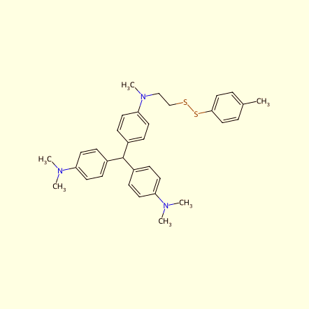 Cc1ccc(SSCCN(C)c2ccc(C(c3ccc(N(C)C)cc3)c3ccc(N(C)C)cc3)cc2)cc1